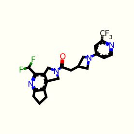 O=C(CC1CN(c2ccnc(C(F)(F)F)c2)C1)N1Cc2c(C(F)F)nc3c(c2C1)CCC3